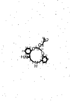 N=C1CCNCc2ccccc2OCC(OCC2CO2)COc2ccccc21